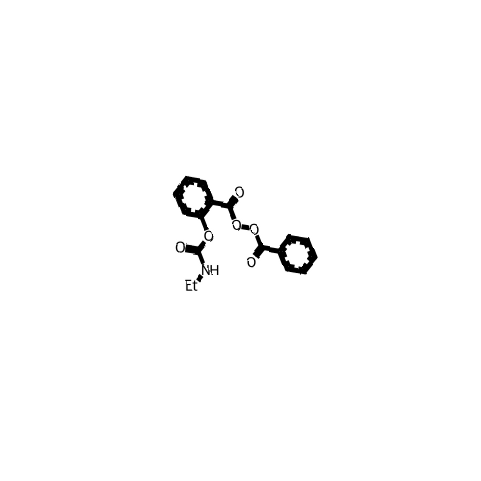 CCNC(=O)Oc1ccccc1C(=O)OOC(=O)c1ccccc1